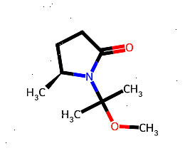 COC(C)(C)N1C(=O)CC[C@@H]1C